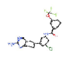 Nc1ncc2cc(-c3cc(Cl)cc(NC(=O)c4cccc(OC(F)(F)F)c4)c3)ccc2n1